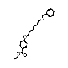 CCOC(=O)c1ccc(OCCCCCCOCc2ccccc2)cc1